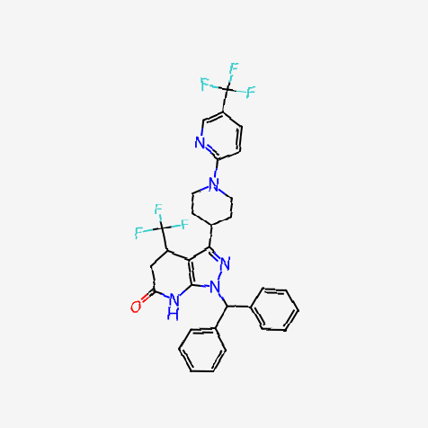 O=C1CC(C(F)(F)F)c2c(C3CCN(c4ccc(C(F)(F)F)cn4)CC3)nn(C(c3ccccc3)c3ccccc3)c2N1